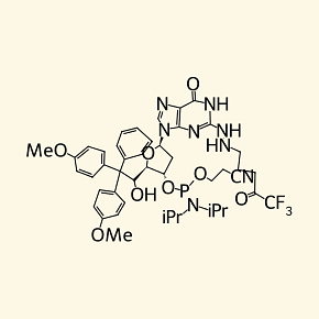 COc1ccc(C(c2ccccc2)(c2ccc(OC)cc2)C(O)[C@H]2O[C@@H](n3cnc4c(=O)[nH]c(NNCCCC(=O)C(F)(F)F)nc43)C[C@@H]2OP(OCCC#N)N(C(C)C)C(C)C)cc1